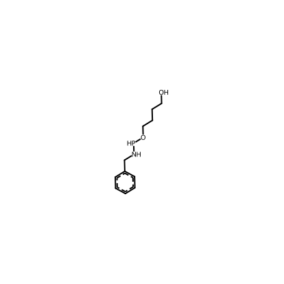 OCCCCOPNCc1ccccc1